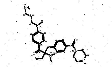 CCC(Cc1ccc(C(=O)N2CCOCC2)cc1)(C(=O)c1ccc(N(C)CCCN)cc1)N(C)C